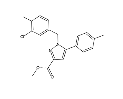 COC(=O)c1cc(-c2ccc(C)cc2)n(Cc2ccc(C)c(Cl)c2)n1